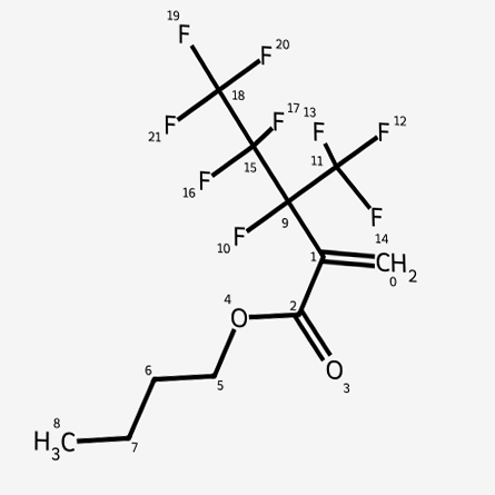 C=C(C(=O)OCCCC)C(F)(C(F)(F)F)C(F)(F)C(F)(F)F